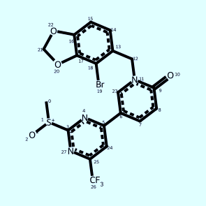 C[S+]([O-])c1nc(-c2ccc(=O)n(Cc3ccc4c(c3Br)OCO4)c2)cc(C(F)(F)F)n1